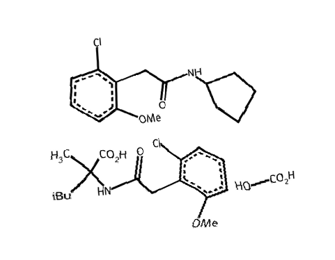 CCC(C)C(C)(NC(=O)Cc1c(Cl)cccc1OC)C(=O)O.COc1cccc(Cl)c1CC(=O)NC1CCCC1.O=C(O)O